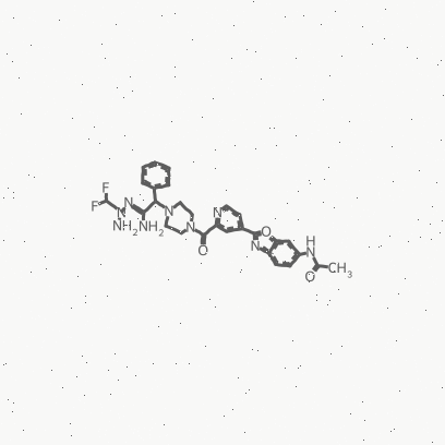 CC(=O)Nc1ccc2nc(-c3ccnc(C(=O)N4CCN(C(/C(N)=N/N(N)C(F)F)c5ccccc5)CC4)c3)oc2c1